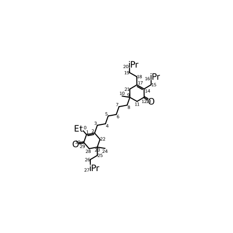 CCC1=C(CCCCCCC2(C)CC(=O)C(CC(C)C)=C(CCC(C)C)C2)CC(C)(CCC(C)C)CC1=O